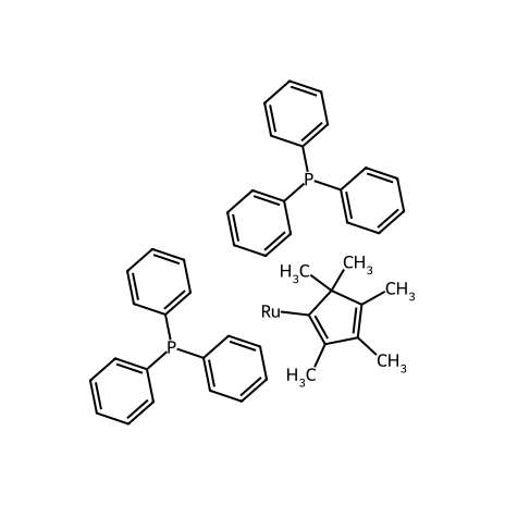 CC1=C(C)C(C)(C)[C]([Ru])=C1C.c1ccc(P(c2ccccc2)c2ccccc2)cc1.c1ccc(P(c2ccccc2)c2ccccc2)cc1